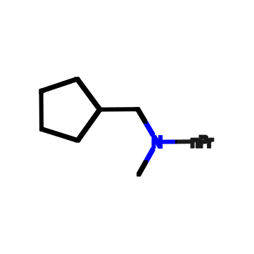 CCCN(C)CC1CCCC1